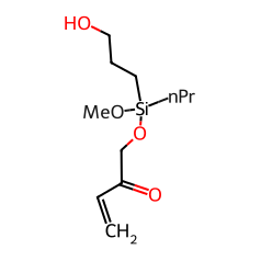 C=CC(=O)CO[Si](CCC)(CCCO)OC